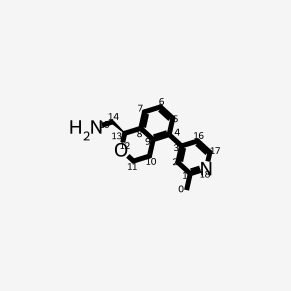 Cc1cc(-c2cccc3c2CCO[C@H]3CN)ccn1